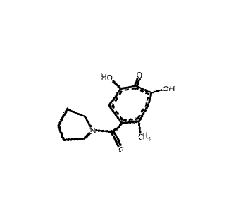 Cc1cc(O)c(=O)c(O)cc1C(=O)N1CCCCC1